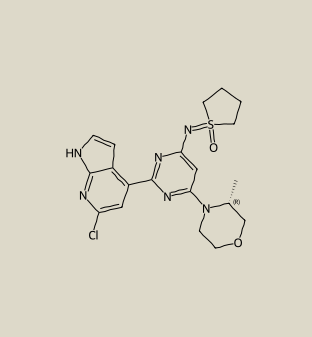 C[C@@H]1COCCN1c1cc(N=S2(=O)CCCC2)nc(-c2cc(Cl)nc3[nH]ccc23)n1